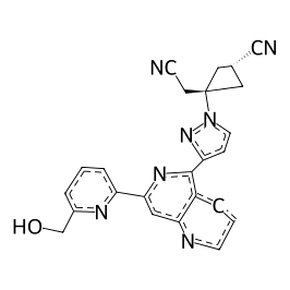 N#CC[C@]1(n2ccc(-c3nc(-c4cccc(CO)n4)cc4ncccc34)n2)C[C@@H](C#N)C1